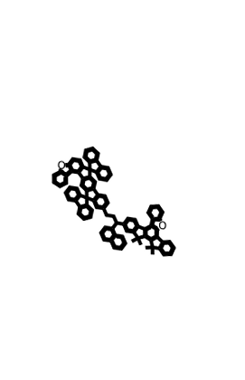 CC1(C)c2ccccc2-c2c1c1c(c3c2oc2ccccc23)-c2ccc(C(CCc3ccc4c(c3)C3(c5ccccc5-c5ccccc53)c3cc5c(cc3-4)C3(c4ccccc4-c4ccccc43)c3ccc4oc6ccccc6c4c3-5)c3cccc4ccccc34)cc2C1(C)C